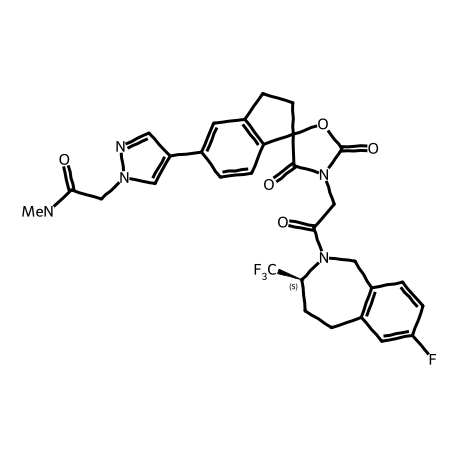 CNC(=O)Cn1cc(-c2ccc3c(c2)CCC32OC(=O)N(CC(=O)N3Cc4ccc(F)cc4CC[C@H]3C(F)(F)F)C2=O)cn1